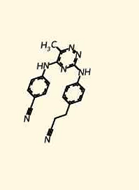 Cc1nnc(Nc2ccc(CCC#N)cc2)nc1Nc1ccc(C#N)cc1